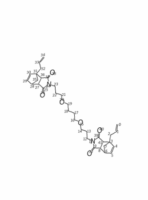 C=CCC12C=CC(C1)C1C(=O)N(CCCOCCCCOCCCN3C(=O)C4C5C=CC(CC=C)(C5)C4C3=O)C(=O)C12